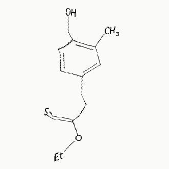 CCOC(=S)Cc1ccc(O)c(C)c1